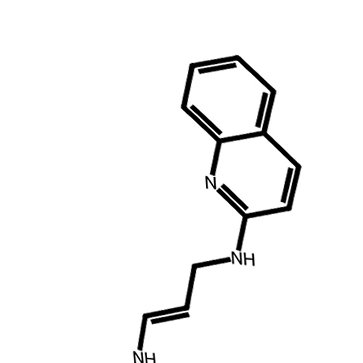 NC=CCNc1ccc2ccccc2n1